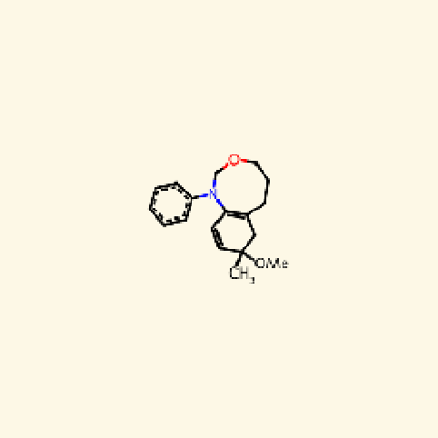 COC1(C)C=CC2=C(CCCOCN2c2ccccc2)C1